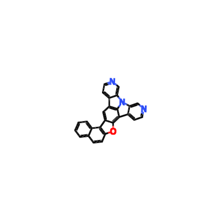 c1ccc2c(c1)ccc1oc3c(cc4c5ccncc5n5c6cnccc6c3c45)c12